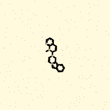 CN1c2ncccc2C=CC1N1C=Cn2cc3ccccc3c2C1